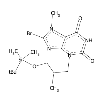 CC(CO[Si](C)(C)C(C)(C)C)Cn1c(=O)[nH]c(=O)c2c1nc(Br)n2C